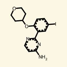 Nc1ccnc(-c2cc(I)ccc2OC2CCOCC2)n1